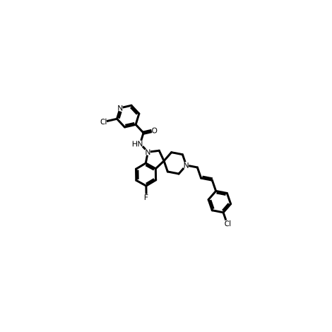 O=C(NN1CC2(CCN(C/C=C/c3ccc(Cl)cc3)CC2)c2cc(F)ccc21)c1ccnc(Cl)c1